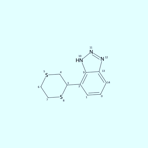 c1cc(C2CSCCS2)c2[nH]nnc2c1